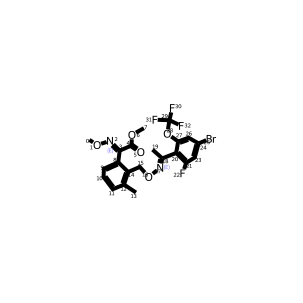 CO/N=C(/C(=O)OC)c1cccc(C)c1CO/N=C(\C)c1c(F)cc(Br)cc1OC(F)(F)F